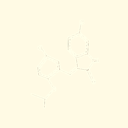 CC(C)Oc1ccc(Cl)cc1/C=C1/C(=O)Nc2cc(Cl)ccc21